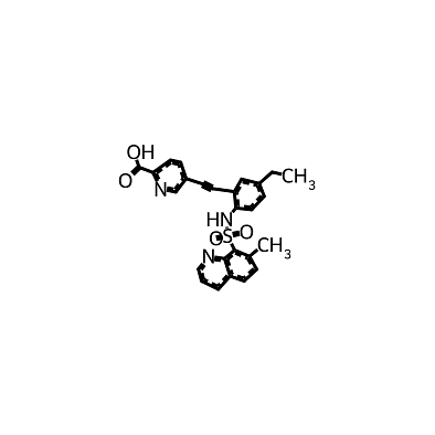 CCc1ccc(NS(=O)(=O)c2c(C)ccc3cccnc23)c(C#Cc2ccc(C(=O)O)nc2)c1